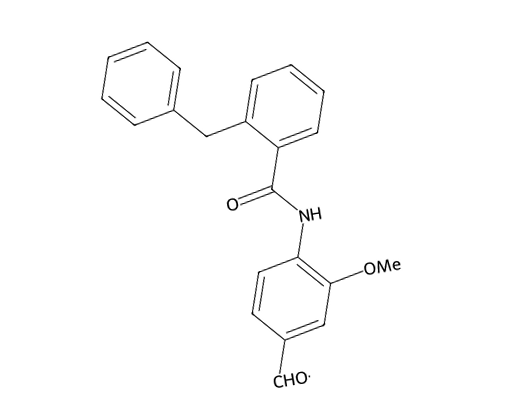 COc1cc([C]=O)ccc1NC(=O)c1ccccc1Cc1ccccc1